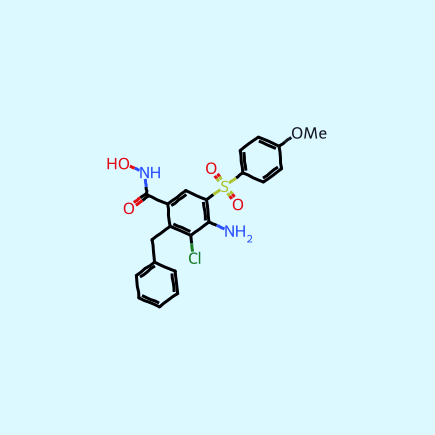 COc1ccc(S(=O)(=O)c2cc(C(=O)NO)c(Cc3ccccc3)c(Cl)c2N)cc1